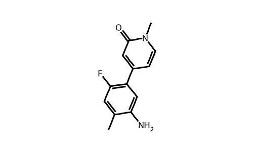 Cc1cc(F)c(-c2ccn(C)c(=O)c2)cc1N